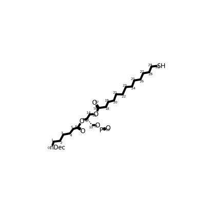 CCCCCCCCCCCCCCCC(=O)O[C@@H](COP=O)COC(=O)CCCCCCCCCCCCS